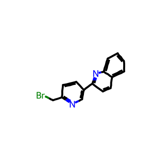 BrCc1ccc(-c2ccc3ccccc3n2)cn1